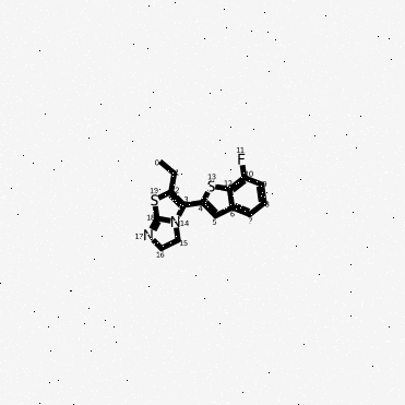 CCC1=C(c2cc3cccc(F)c3s2)N2CCN=C2S1